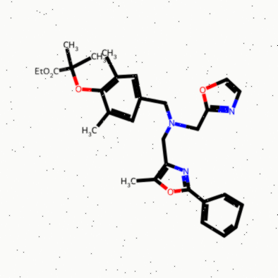 CCOC(=O)C(C)(C)Oc1c(C)cc(CN(Cc2ncco2)Cc2nc(-c3ccccc3)oc2C)cc1C